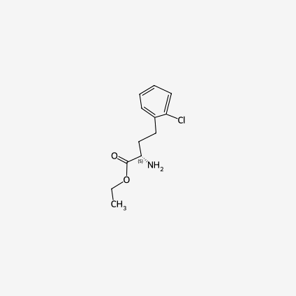 CCOC(=O)[C@@H](N)CCc1ccccc1Cl